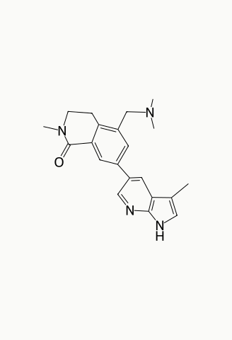 Cc1c[nH]c2ncc(-c3cc(CN(C)C)c4c(c3)C(=O)N(C)CC4)cc12